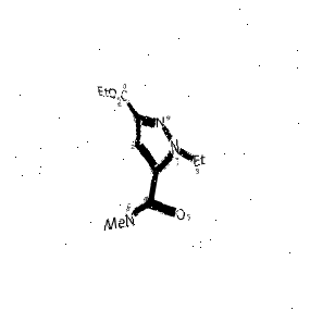 CCOC(=O)c1cc(C(=O)NC)n(CC)n1